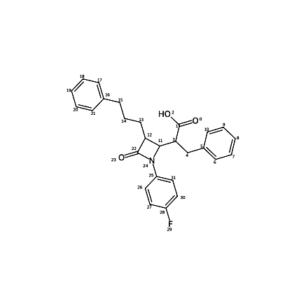 O=C(O)C(Cc1ccccc1)C1C(CCCc2ccccc2)C(=O)N1c1ccc(F)cc1